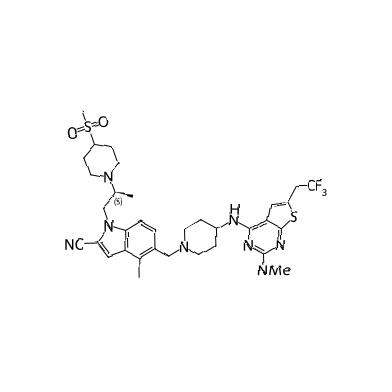 CNc1nc(NC2CCN(Cc3ccc4c(cc(C#N)n4C[C@H](C)N4CCC(S(C)(=O)=O)CC4)c3C)CC2)c2cc(CC(F)(F)F)sc2n1